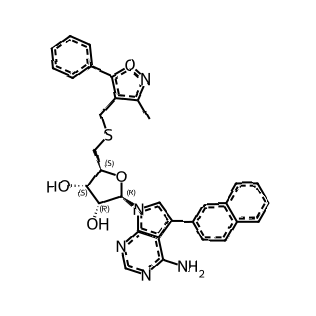 Cc1noc(-c2ccccc2)c1CSC[C@H]1O[C@@H](n2cc(-c3ccc4ccccc4c3)c3c(N)ncnc32)[C@H](O)[C@@H]1O